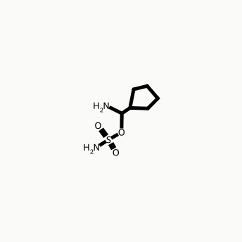 NC(OS(N)(=O)=O)C1CCCC1